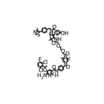 Cc1ncsc1-c1ccc(CNC(=O)[C@@H]2C[C@@H](O)CN2C(=O)C(NC(=O)COCCOCC(=O)N2[C@H](C)CN(C(=O)c3ccc(NC(=O)c4cc(OC(C)c5c(Cl)ccc(F)c5Cl)c(N)nn4)cc3)C[C@@H]2C)C(C)(C)C)cc1